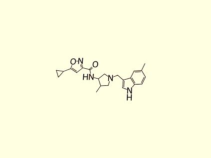 Cc1ccc2[nH]cc(CN3CC(C)C(NC(=O)c4cc(C5CC5)on4)C3)c2c1